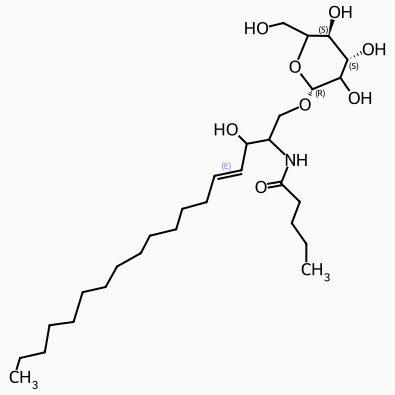 CCCCCCCCCCCCC/C=C/C(O)C(CO[C@@H]1OC(CO)[C@@H](O)[C@H](O)C1O)NC(=O)CCCC